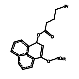 CCCCCCCCOC1=CC(OC(=O)CCCC(C)C)c2cccc3cccc1c23